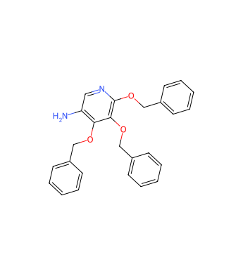 Nc1cnc(OCc2ccccc2)c(OCc2ccccc2)c1OCc1ccccc1